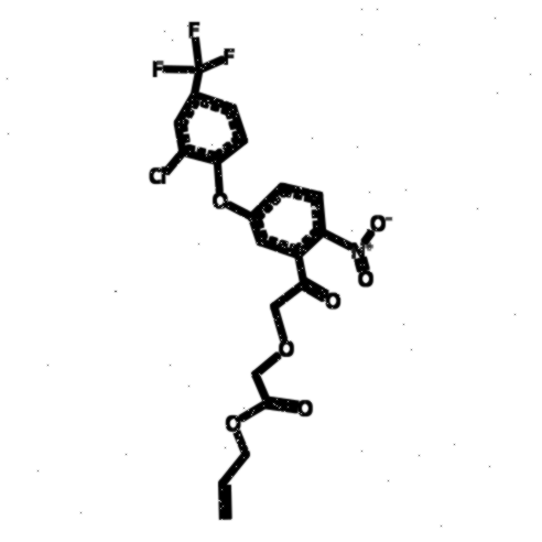 C=CCOC(=O)COCC(=O)c1cc(Oc2ccc(C(F)(F)F)cc2Cl)ccc1[N+](=O)[O-]